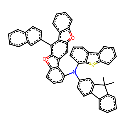 CC1(C)c2ccccc2-c2ccc(N(c3cccc4c3sc3ccccc34)c3cccc4oc5c(-c6ccc7ccccc7c6)c6c(cc5c34)oc3ccccc36)cc21